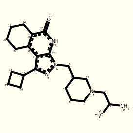 CC(C)CN1CCCC(Cn2nc(C3CCC3)c3c4c(c(=O)[nH]c32)CCCC4)C1